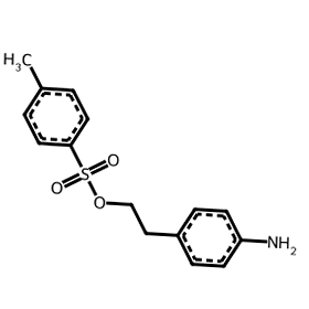 Cc1ccc(S(=O)(=O)OCCc2ccc(N)cc2)cc1